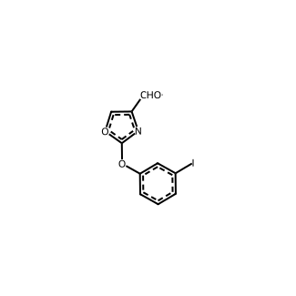 O=[C]c1coc(Oc2cccc(I)c2)n1